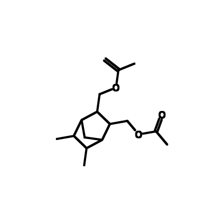 C=C(C)OCC1C2CC(C(C)C2C)C1COC(C)=O